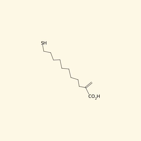 C=C(CCCCCCCCCS)C(=O)O